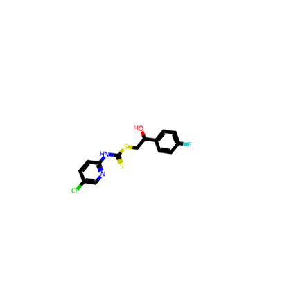 OC(CSC(=S)Nc1ccc(Cl)cn1)c1ccc(F)cc1